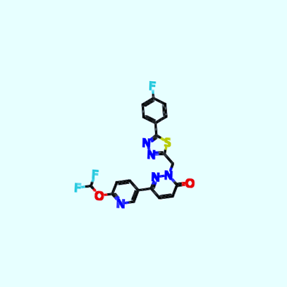 O=c1ccc(-c2ccc(OC(F)F)nc2)nn1Cc1nnc(-c2ccc(F)cc2)s1